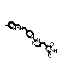 Cc1ccc(CNCC2CCN(c3nccc(/C=C4\SC(=O)NC4=O)n3)CC2)nc1